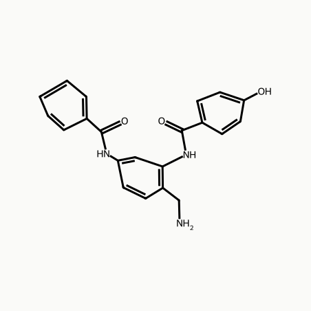 NCc1ccc(NC(=O)c2ccccc2)cc1NC(=O)c1ccc(O)cc1